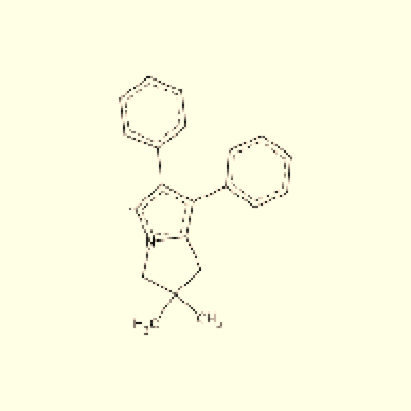 CC1(C)Cc2c(-c3ccccc3)c(-c3ccccc3)[c]n2C1